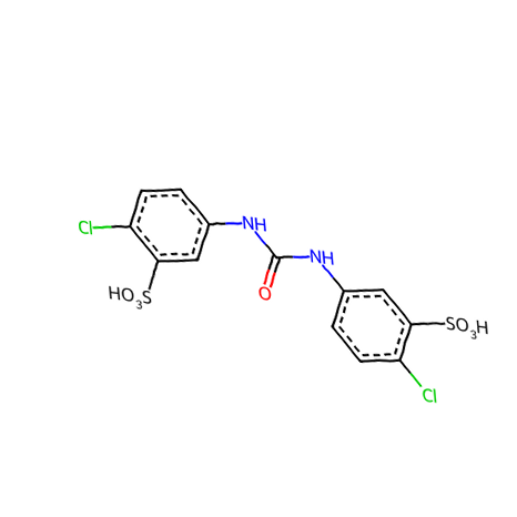 O=C(Nc1ccc(Cl)c(S(=O)(=O)O)c1)Nc1ccc(Cl)c(S(=O)(=O)O)c1